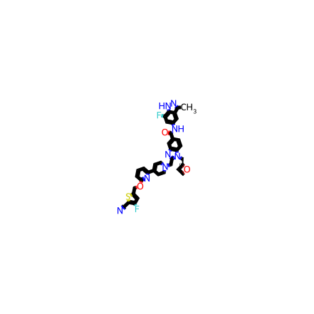 Cc1n[nH]c2c(F)cc(NC(=O)c3ccc4c(c3)nc(CN3CC=C(c5cccc(OCc6cc(F)c(C#N)s6)n5)CC3)n4C[C@@H]3CCO3)cc12